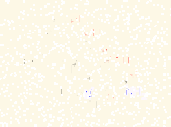 C#Cc1ccc(O)c2c1C[C@H]1C[C@H]3[C@H](N(C)C)C(=O)C(C(N)=O)=C(O)[C@@]3(O)C(=O)C1=C2O